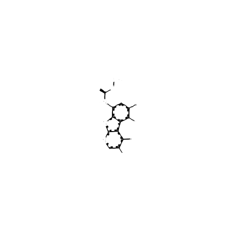 CC(C)(C)OC(=O)Nc1cc(F)c(Cl)c2c1[nH]c1ncc(Cl)c(Cl)c12